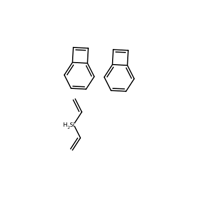 C1=Cc2ccccc21.C1=Cc2ccccc21.C=C[SiH2]C=C